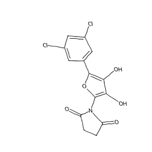 O=C1CCC(=O)N1c1oc(-c2cc(Cl)cc(Cl)c2)c(O)c1O